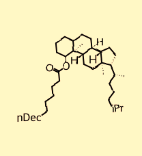 CCCCCCCCCCCCCCCC(=O)OC1CCCC2CC[C@@H]3[C@H](CC[C@]4(C)[C@@H]([C@H](C)CCCC(C)C)CC[C@@H]34)[C@]21C